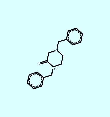 O=C1CN(Cc2ccccc2)CC[C@H]1Cc1ccccc1